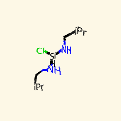 CC(C)CN[SiH](Cl)NCC(C)C